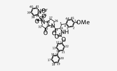 COc1ccc(CC(NC(=O)Oc2ccc(-c3ccccc3)cc2)C(=O)N2CCC3C2C(=O)CN3S(=O)(=O)c2cccc[n+]2[O-])cc1